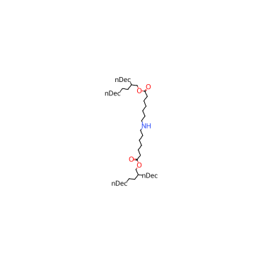 CCCCCCCCCCCCC(CCCCCCCCCC)COC(=O)CCCCCCNCCCCCCC(=O)OCC(CCCCCCCCCC)CCCCCCCCCCCC